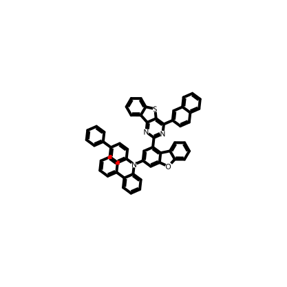 c1ccc(-c2ccc(N(c3cc(-c4nc(-c5ccc6ccccc6c5)c5sc6ccccc6c5n4)c4c(c3)oc3ccccc34)c3ccccc3-c3ccccc3)cc2)cc1